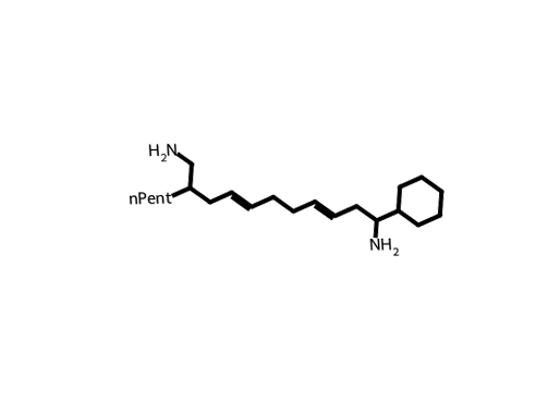 CCCCCC(CN)CC=CCCC=CCC(N)C1CCCCC1